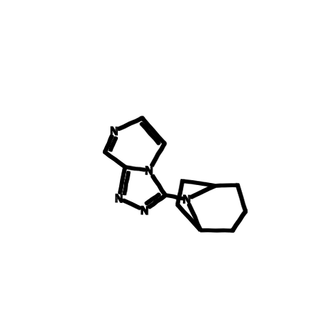 c1cn2c(N3C4CCCC3CC4)nnc2cn1